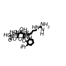 CC(C)c1cccc(C(C)C)c1OC1(N[C@@H](CCCNC(=N)N)C(=O)O)OC(OP(=O)(O)O)C(O)C(O)C1O